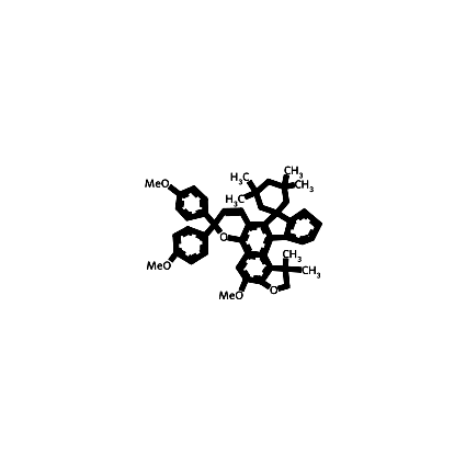 COc1ccc(C2(c3ccc(OC)cc3)C=Cc3c4c(c5c6c(c(OC)cc5c3O2)OCC6(C)C)-c2ccccc2C42CC(C)(C)CC(C)(C)C2)cc1